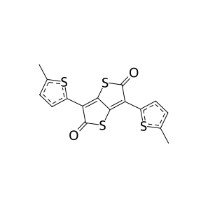 Cc1ccc(C2=C3SC(=O)C(c4ccc(C)s4)=C3SC2=O)s1